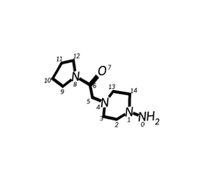 NN1CCN(CC(=O)N2CCCC2)CC1